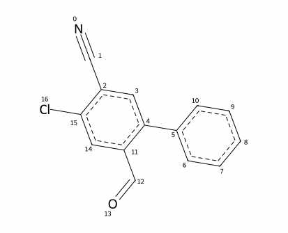 N#Cc1cc(-c2ccccc2)c(C=O)cc1Cl